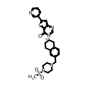 CS(=O)(=O)N1CCN(Cc2ccc3c(c2)CC[C@H](n2cnc4cc(-c5cccnc5)sc4c2=O)C3)CC1